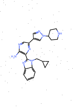 Nc1ncc(-c2cnn(C3CCNCC3)c2)nc1-c1nc2ccccc2n1CC1CC1